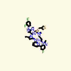 C=Nc1c(/C(=N\CSCC2CSC2)N2C(CC)CC2Nc2cccc(-c3cc(F)cc4nc(C)n(CCCN(C)C)c34)n2)cnn1-c1ccc(F)cc1F